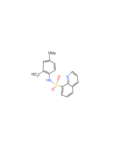 COc1ccc(NS(=O)(=O)c2cccc3cccnc23)c(C(=O)O)c1